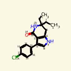 CCC1(CC)Cc2[nH]cc(-c3ccc(Cl)cc3)c2C(=O)N1